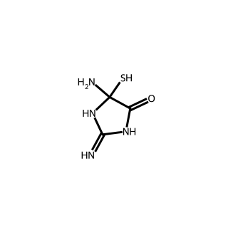 N=C1NC(=O)C(N)(S)N1